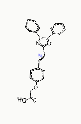 O=C(O)COc1ccc(/C=C/c2nc(-c3ccccc3)c(-c3ccccc3)o2)cc1